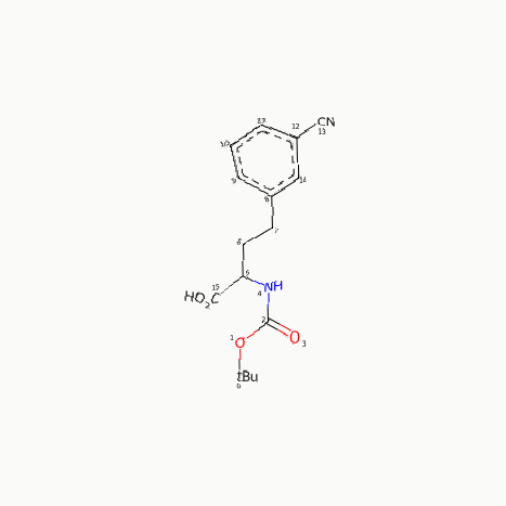 CC(C)(C)OC(=O)NC(CCc1cccc(C#N)c1)C(=O)O